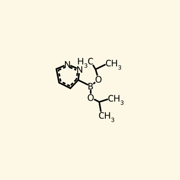 CC(C)OB(OC(C)C)c1cccnn1